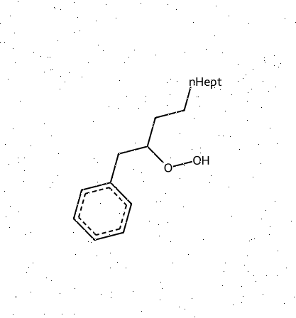 CCCCCCCCCC(Cc1ccccc1)OO